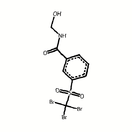 O=C(NCO)c1cccc(S(=O)(=O)C(Br)(Br)Br)c1